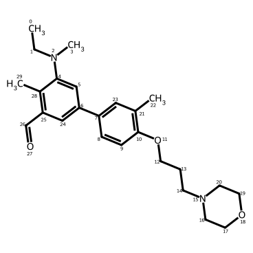 CCN(C)c1cc(-c2ccc(OCCCN3CCOCC3)c(C)c2)cc(C=O)c1C